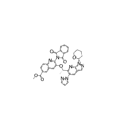 COC(=O)c1ccc2nc(N3C(=O)c4ccccc4C3=O)c(O[C@@H](C)c3nc4c(cnn4[C@@H]4CCCCO4)cc3-n3cccn3)cc2c1